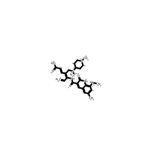 C=C/C(NC(=O)c1cc2cc(C)cc(NC)c2[nH]c1=O)=C(\C=C\C(=O)O)CN(C)C1CCN(C)CC1